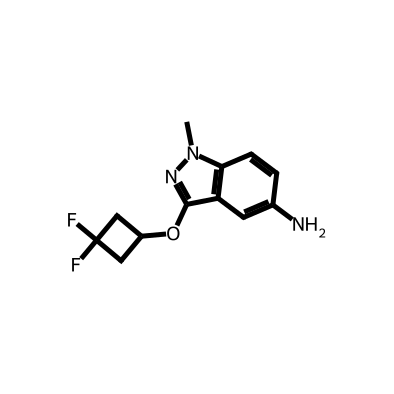 Cn1nc(OC2CC(F)(F)C2)c2cc(N)ccc21